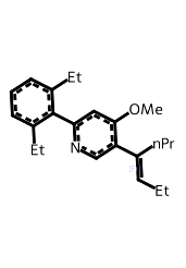 CC/C=C(\CCC)c1cnc(-c2c(CC)cccc2CC)cc1OC